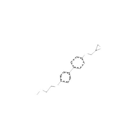 COCCOc1ccc(-c2ccc(OCC3CO3)cc2)cc1